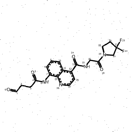 O=CCCC(=O)Nc1cccc2c(C(=O)NCC(=O)N3CCC(F)(F)C3)ccnc12